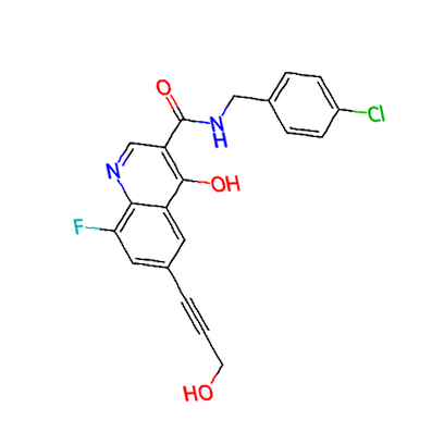 O=C(NCc1ccc(Cl)cc1)c1cnc2c(F)cc(C#CCO)cc2c1O